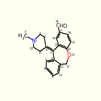 CN1CCC(=C2c3ccccc3COc3ccc(C=O)cc32)CC1